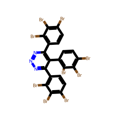 Brc1ccc(-c2nnnc(-c3ccc(Br)c(Br)c3Br)c2-c2ccc(Br)c(Br)c2Br)c(Br)c1Br